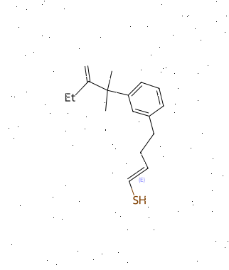 C=C(CC)C(C)(C)c1cccc(CC/C=C/S)c1